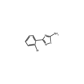 Nc1nc(-c2ccccc2Br)ns1